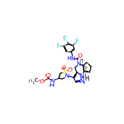 COC(=O)NC1CN(c2cnn3c2CN(C(=O)Nc2cc(F)c(F)c(F)c2)[C@H]2CCC[C@H]23)S(=O)(=O)C1